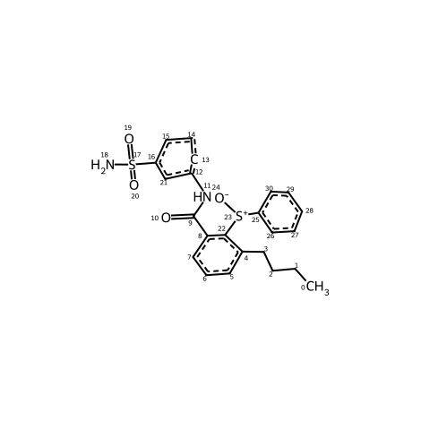 CCCCc1cccc(C(=O)Nc2cccc(S(N)(=O)=O)c2)c1[S+]([O-])c1ccccc1